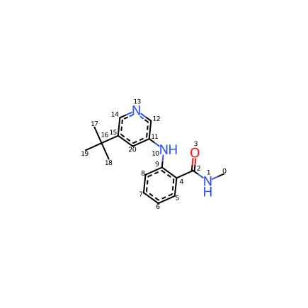 CNC(=O)c1ccccc1Nc1cncc(C(C)(C)C)c1